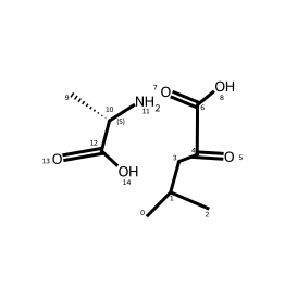 CC(C)CC(=O)C(=O)O.C[C@H](N)C(=O)O